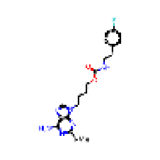 CNc1nc(N)c2ncn(CCCCOC(=O)NCCc3ccc(F)cc3)c2n1